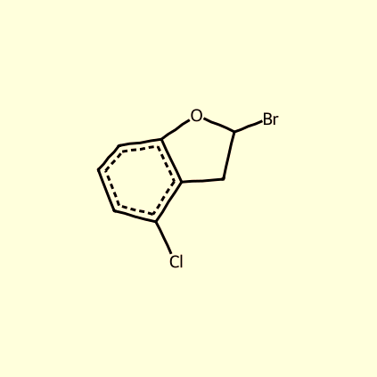 Clc1cccc2c1CC(Br)O2